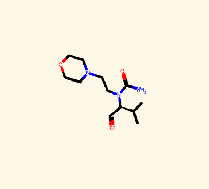 CC(C)[C@@H]([C]=O)N(CCN1CCOCC1)C(N)=O